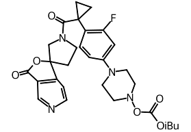 CC(C)COC(=O)ON1CCN(c2ccc(C3(C(=O)N4CCC5(C4)OC(=O)c4cnccc45)CC3)c(F)c2)CC1